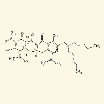 CCCCCN(CCCCC)Cc1cc(N(C)C)c2c(c1O)C(=O)C1=C(O)[C@]3(O)C(=O)C(C(N)=O)=C(O)[C@@H](N(C)C)[C@@H]3C[C@@H]1C2